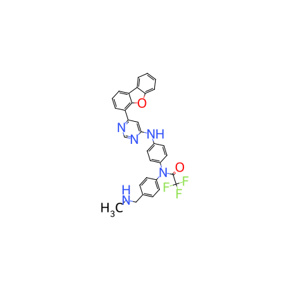 CNCc1ccc(N(C(=O)C(F)(F)F)c2ccc(Nc3cc(-c4cccc5c4oc4ccccc45)ncn3)cc2)cc1